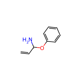 C=C[C](N)Oc1ccccc1